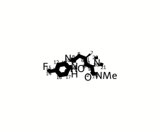 CNC(=O)[C@H]([C@H](O)[C@H](C)Cc1nc2cc(CF)ccc2[nH]1)N(C)C